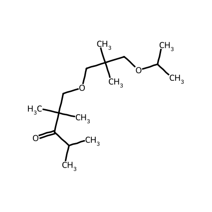 CC(C)OCC(C)(C)COCC(C)(C)C(=O)C(C)C